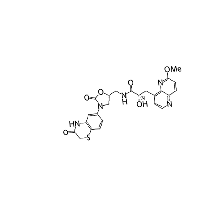 COc1ccc2nccc(C[C@H](O)C(=O)NCC3CN(c4ccc5c(c4)NC(=O)CS5)C(=O)O3)c2n1